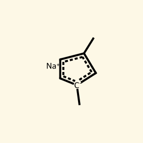 Cc1cc[c-](C)c1.[Na+]